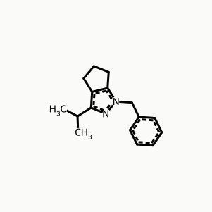 CC(C)c1nn(Cc2ccccc2)c2c1CCC2